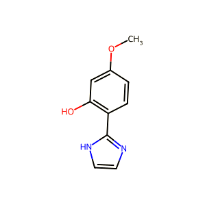 COc1ccc(-c2ncc[nH]2)c(O)c1